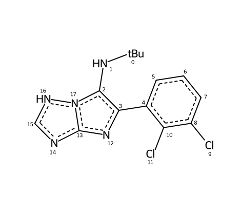 CC(C)(C)Nc1c(-c2cccc(Cl)c2Cl)nc2nc[nH]n12